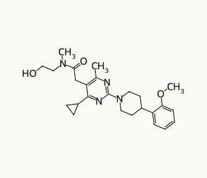 COc1ccccc1C1CCN(c2nc(C)c(CC(=O)N(C)CCO)c(C3CC3)n2)CC1